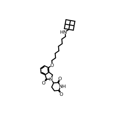 O=C1CCC(N2Cc3c(OCCCCCCCCNC45CC6CC7CC(C4)C765)cccc3C2=O)C(=O)N1